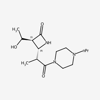 CCCN1CCN(C(=O)C(C)[C@H]2NC(=O)[C@@H]2C(C)O)CC1